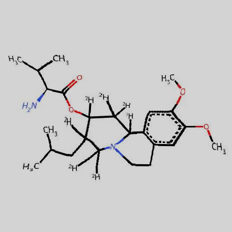 [2H]C1([2H])N2CCc3cc(OC)c(OC)cc3C2([2H])C([2H])([2H])C([2H])(OC(=O)[C@@H](N)C(C)C)C1([2H])CC(C)C